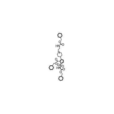 O=C(NCCN1CCC(c2ccn(S(=O)(=O)NC(=O)OCc3ccccc3)c2C(=O)OCc2ccccc2)CC1)OCc1ccccc1